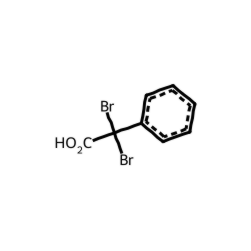 O=C(O)C(Br)(Br)c1ccccc1